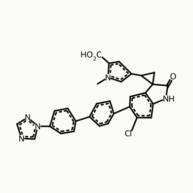 Cn1cc(C2CC23C(=O)Nc2cc(Cl)c(-c4ccc(-c5ccc(-n6cncn6)cc5)cc4)cc23)cc1C(=O)O